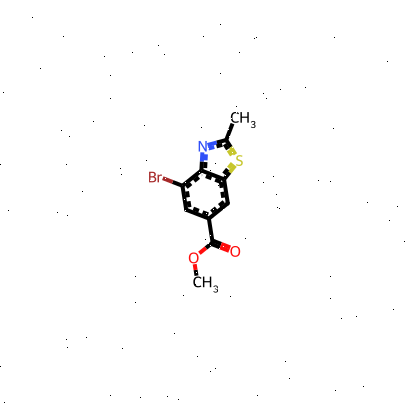 COC(=O)c1cc(Br)c2nc(C)sc2c1